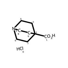 Cl.O=C(O)C12CCN(CC1)CC2